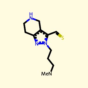 CNCCCn1nc2c(c1C=S)CNCC2